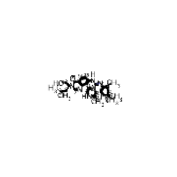 CC(C)C[C@@H](CO)n1cnc2cc(N/C(=N/C3CCC(C)(C)C[C@@H]3C)N3CCNC(C)(C)C3)ccc2c1=O